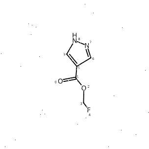 O=C(OCF)c1cn[nH]c1